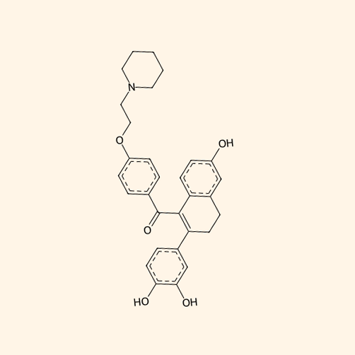 O=C(C1=C(c2ccc(O)c(O)c2)CCc2cc(O)ccc21)c1ccc(OCCN2CCCCC2)cc1